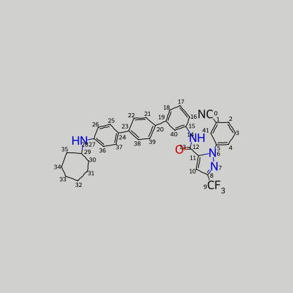 N#Cc1cccc(-n2nc(C(F)(F)F)cc2C(=O)Nc2cccc(-c3ccc(-c4ccc(NC5CCCCCC5)cc4)cc3)c2)c1